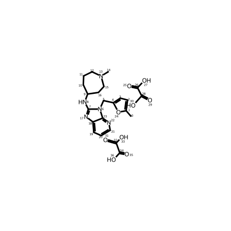 Cc1ccc(Cn2c(NC3CCCN(C)CC3)nc3cccnc32)o1.O=C(O)C(=O)O.O=C(O)C(=O)O